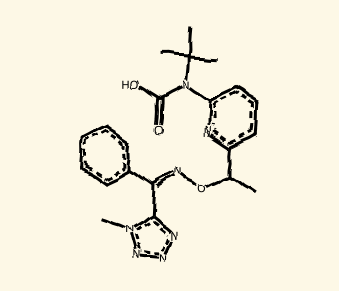 CC(ON=C(c1ccccc1)c1nnnn1C)c1cccc(N(C(=O)O)C(C)(C)C)n1